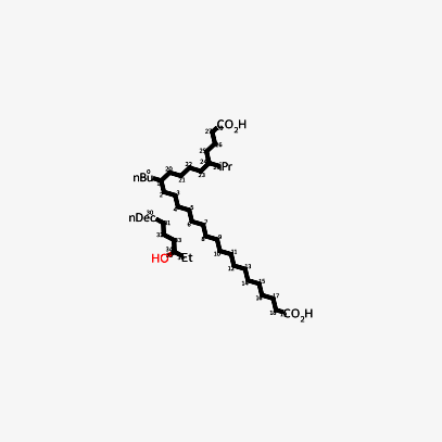 CCCCC(CCCCCCCCCCCCCCCCCC(=O)O)CCCCC(CCCC(=O)O)C(C)C.CCCCCCCCCCCCCC(O)CC